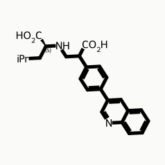 CC(C)C[C@H](NCC(C(=O)O)c1ccc(-c2cnc3ccccc3c2)cc1)C(=O)O